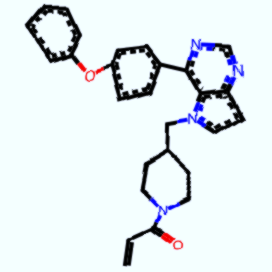 C=CC(=O)N1CCC(Cn2ccc3ncnc(-c4ccc(Oc5ccccc5)cc4)c32)CC1